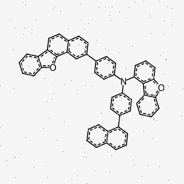 c1ccc2c(-c3ccc(N(c4ccc(-c5ccc6ccc7c8ccccc8oc7c6c5)cc4)c4cccc5oc6ccccc6c45)cc3)cccc2c1